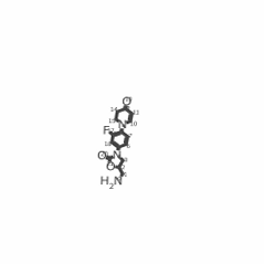 NCC1CN(c2ccc(N3C=CC(=O)CC3)c(F)c2)C(=O)O1